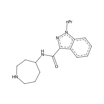 CCCn1nc(C(=O)NC2CCCNCC2)c2ccccc21